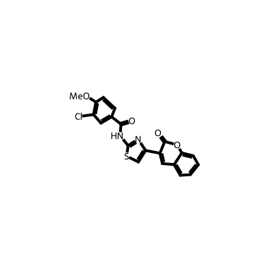 COc1ccc(C(=O)Nc2nc(-c3cc4ccccc4oc3=O)cs2)cc1Cl